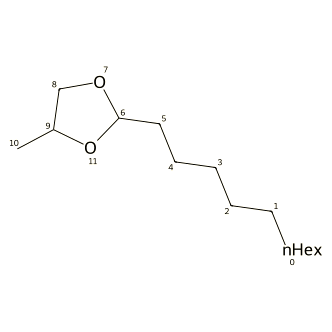 CCCCCCCCCCCC1OCC(C)O1